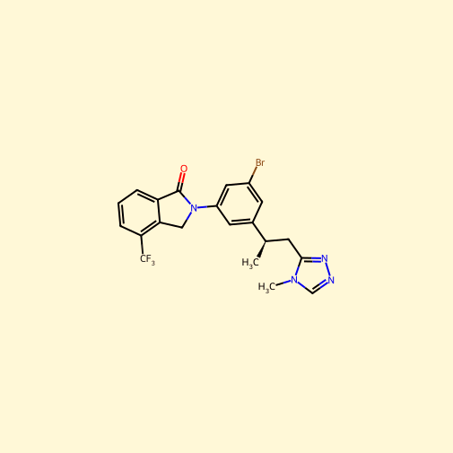 C[C@H](Cc1nncn1C)c1cc(Br)cc(N2Cc3c(cccc3C(F)(F)F)C2=O)c1